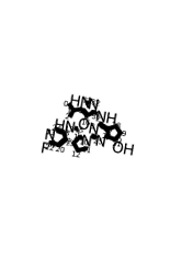 CC(C)c1cc(Nc2nc(N3CCC[C@@H]3C(=O)Nc3ccc(F)nc3)nc3c2CCC3O)n[nH]1